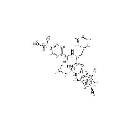 CC(C)C[C@H](NC(=O)C(Cc1ccccc1)NC(=O)c1ccc(C(=O)NO)cc1)B1OC2C[C@H]3C[C@H](C3(C)C)[C@@]2(C)O1